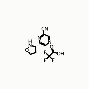 N#Cc1cncc([C@@H]2CCON2)n1.O=C(O)C(F)(F)F